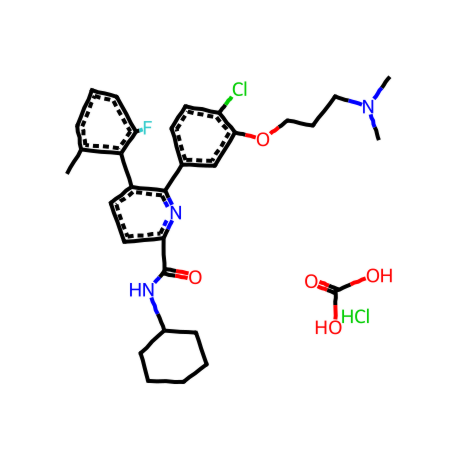 Cc1cccc(F)c1-c1ccc(C(=O)NC2CCCCC2)nc1-c1ccc(Cl)c(OCCCN(C)C)c1.Cl.O=C(O)O